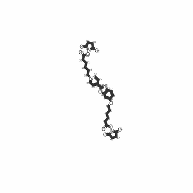 O=C(CCCCCOc1ccc2nc(-c3cc[n+](CCCCCC(=O)ON4C(=O)CCC4=O)cc3)oc2c1)ON1C(=O)CCC1=O